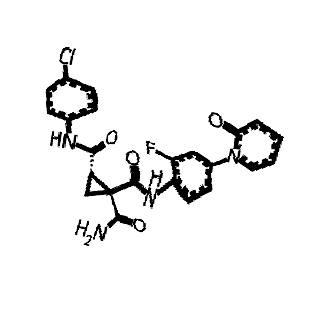 NC(=O)[C@@]1(C(=O)Nc2ccc(-n3ccccc3=O)cc2F)C[C@@H]1C(=O)Nc1ccc(Cl)cc1